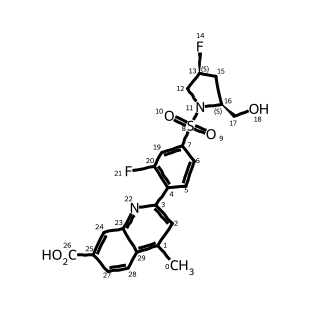 Cc1cc(-c2ccc(S(=O)(=O)N3C[C@@H](F)C[C@H]3CO)cc2F)nc2cc(C(=O)O)ccc12